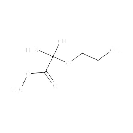 CCCOC(C)([SiH3])C(=O)OC